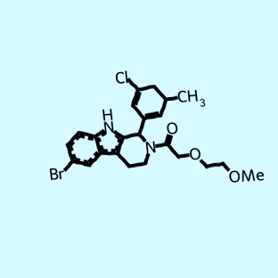 COCCOCC(=O)N1CCc2c([nH]c3ccc(Br)cc23)C1C1=CC(C)CC(Cl)=C1